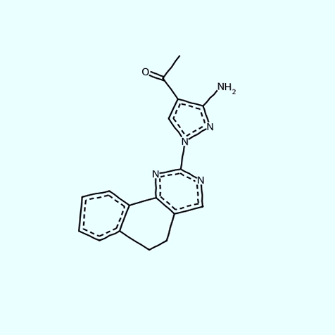 CC(=O)c1cn(-c2ncc3c(n2)-c2ccccc2CC3)nc1N